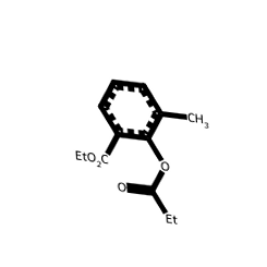 CCOC(=O)c1cccc(C)c1OC(=O)CC